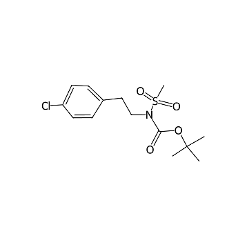 CC(C)(C)OC(=O)N(CCc1ccc(Cl)cc1)S(C)(=O)=O